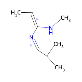 C/C=C(\N=C/C(C)C)NC